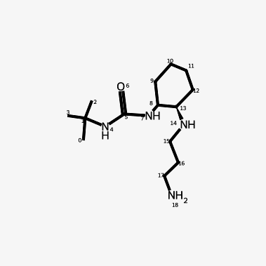 CC(C)(C)NC(=O)NC1CCCC[C@H]1NCCCN